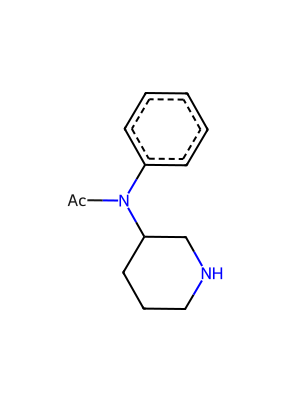 CC(=O)N(c1ccccc1)C1CCCNC1